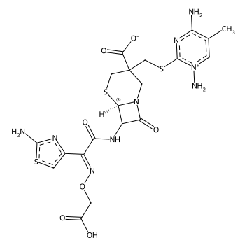 Cc1c[n+](N)c(SCC2(C(=O)[O-])CS[C@@H]3C(NC(=O)C(=NOCC(=O)O)c4csc(N)n4)C(=O)N3C2)nc1N